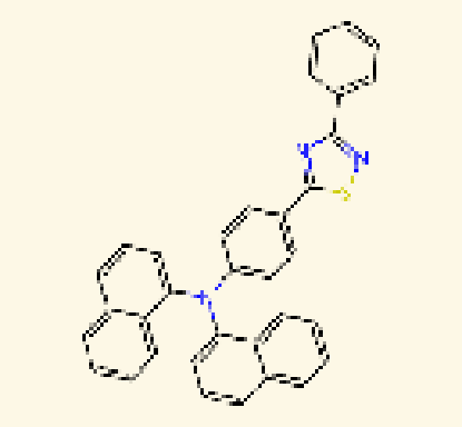 c1ccc(-c2nsc(-c3ccc(N(c4cccc5ccccc45)c4cccc5ccccc45)cc3)n2)cc1